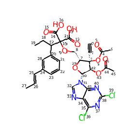 C#C[C@@]1(OC(C)=O)[C@@H](COC(C(=O)O)(C(=O)O)C(CC)c2cccc(C=CC)c2)O[C@@H](n2cnc3c(Cl)nc(Cl)nc32)[C@@H]1OC(C)=O